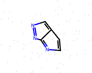 C1=CC2=CN=NC2=N1